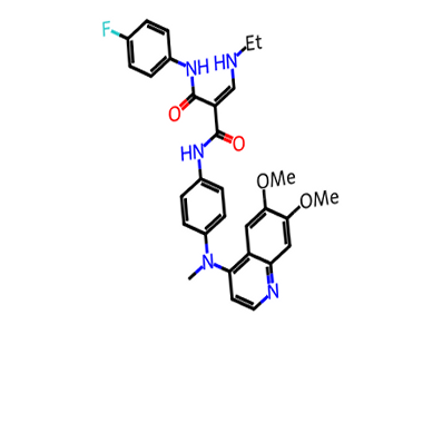 CCN/C=C(\C(=O)Nc1ccc(F)cc1)C(=O)Nc1ccc(N(C)c2ccnc3cc(OC)c(OC)cc23)cc1